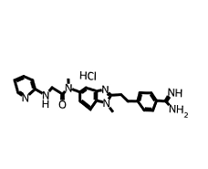 CN(C(=O)CNc1ccccn1)c1ccc2c(c1)nc(CCc1ccc(C(=N)N)cc1)n2C.Cl